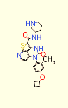 Cc1cc(OC2CCC2)ccc1N1C(=O)Nc2c(C(=O)NC3CCCNC3)sc3nccc1c23